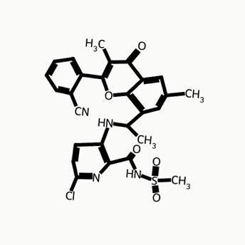 Cc1cc(C(C)Nc2ccc(Cl)nc2C(=O)NS(C)(=O)=O)c2oc(-c3ccccc3C#N)c(C)c(=O)c2c1